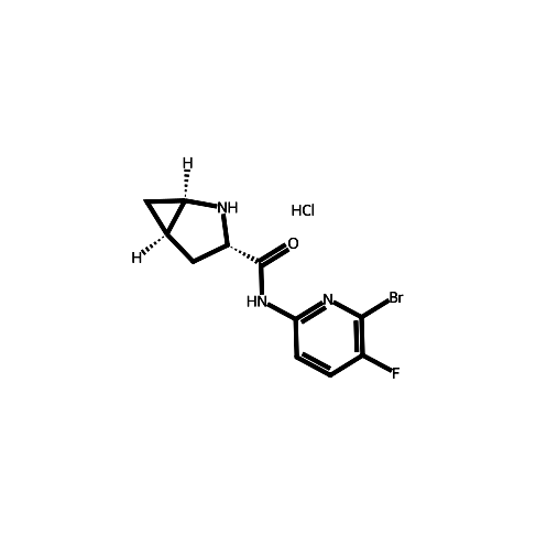 Cl.O=C(Nc1ccc(F)c(Br)n1)[C@@H]1C[C@H]2C[C@H]2N1